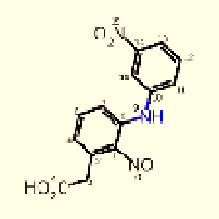 O=Nc1c(CC(=O)O)cccc1Nc1cccc([N+](=O)[O-])c1